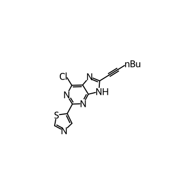 CCCCC#Cc1nc2c(Cl)nc(-c3cncs3)nc2[nH]1